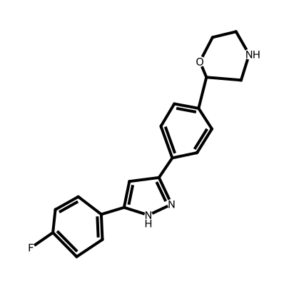 Fc1ccc(-c2cc(-c3ccc(C4CNCCO4)cc3)n[nH]2)cc1